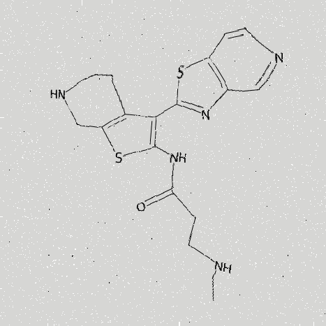 CNCCC(=O)Nc1sc2c(c1-c1nc3cnccc3s1)CCNC2